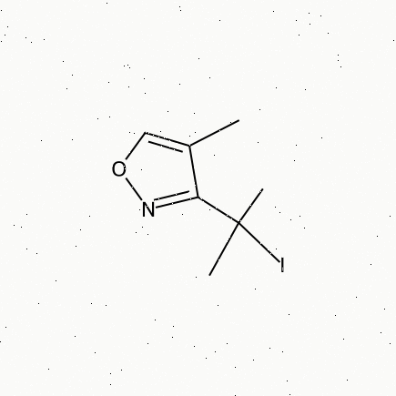 Cc1conc1C(C)(C)I